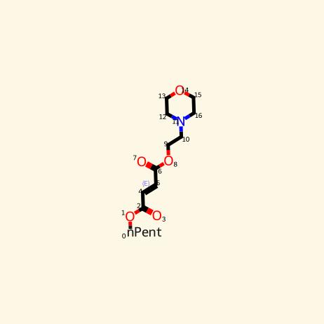 CCCCCOC(=O)/C=C/C(=O)OCCN1CCOCC1